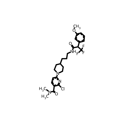 COc1cccc(C(C(=O)NCCCC2CCN(c3ccc(C(=O)N(C)C)c(Cl)n3)CC2)C(F)(F)F)c1